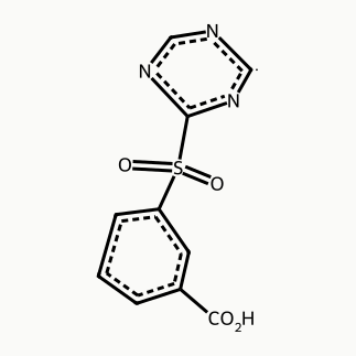 O=C(O)c1cccc(S(=O)(=O)c2n[c]ncn2)c1